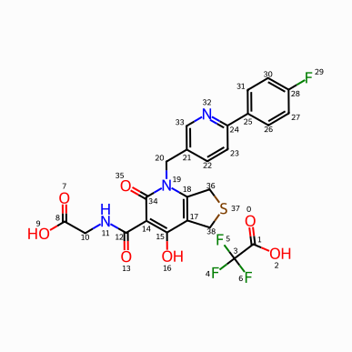 O=C(O)C(F)(F)F.O=C(O)CNC(=O)c1c(O)c2c(n(Cc3ccc(-c4ccc(F)cc4)nc3)c1=O)CSC2